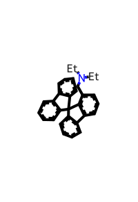 CCN(CC)Cc1cccc2c1C1(c3ccccc3-c3ccccc31)c1ccccc1-2